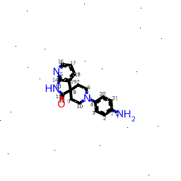 Nc1ccc(N2CCC3(CC2)C(=O)Nc2ncccc23)cc1